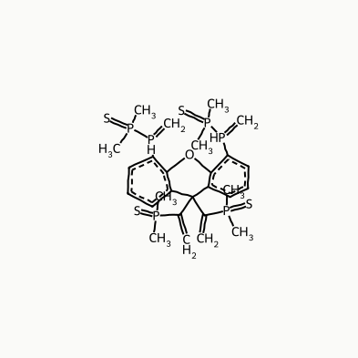 C=C(C1(C(=C)P(C)(C)=S)c2cccc([PH](=C)P(C)(C)=S)c2Oc2c([PH](=C)P(C)(C)=S)cccc21)P(C)(C)=S